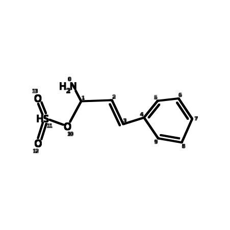 NC(C=Cc1ccccc1)O[SH](=O)=O